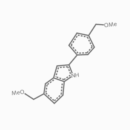 COCc1ccc(-c2cc3cc(COC)ccc3[nH]2)cc1